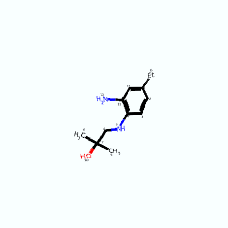 CCc1ccc(NCC(C)(C)O)c(N)c1